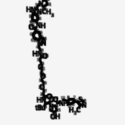 Cc1ncsc1-c1ccc(CNC(=O)[C@@H]2C[C@@H](O)CN2C(=O)C(NC(=O)CCOCCOCCOCCC(=O)NCCn2ncc3cc(C(=O)Nc4ccc5[nH]c(CN6CCC[C@@H]6C)nc5c4)ccc32)C(C)(C)C)cc1